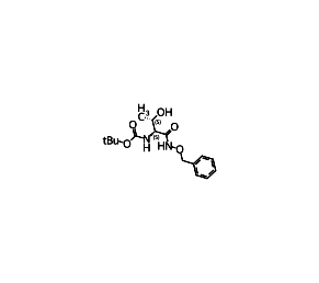 C[C@H](O)[C@H](NC(=O)OC(C)(C)C)C(=O)NOCc1ccccc1